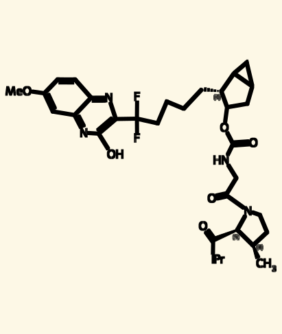 COc1ccc2nc(C(F)(F)CCCC[C@H]3C(OC(=O)NCC(=O)N4CC[C@@H](C)[C@H]4C(=O)C(C)C)CC4CC43)c(O)nc2c1